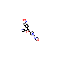 O/N=C1\CCc2cc(-c3cc(C4CCN(CCN5CCOCC5)CC4)oc3-c3ccncc3)ccc21